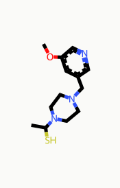 COc1cncc(CN2CCN(C(C)S)CC2)c1